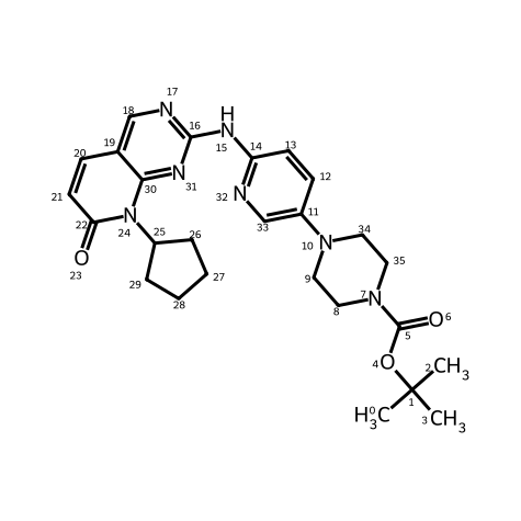 CC(C)(C)OC(=O)N1CCN(c2ccc(Nc3ncc4ccc(=O)n(C5CCCC5)c4n3)nc2)CC1